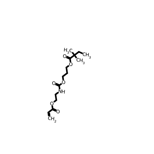 C=CC(=O)OCCNC(=O)OCCCOC(=O)C(C)(C)CC